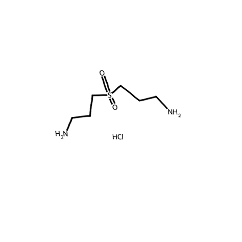 Cl.NCCCS(=O)(=O)CCCN